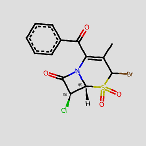 CC1=C(C(=O)c2ccccc2)N2C(=O)[C@H](Cl)[C@H]2S(=O)(=O)C1Br